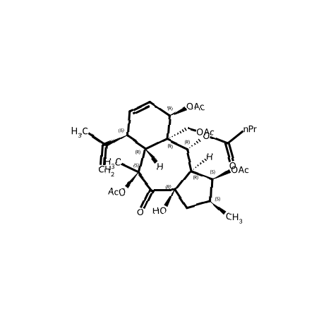 C=C(C)[C@H]1C=C[C@@H](OC(C)=O)[C@@]2(COC(C)=O)[C@H](OC(=O)CCC)[C@H]3[C@@H](OC(C)=O)[C@@H](C)C[C@]3(O)C(=O)[C@@](C)(OC(C)=O)[C@H]12